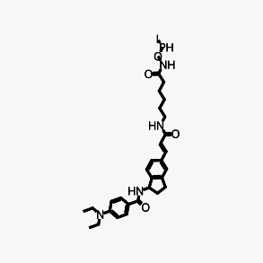 CCN(CC)c1ccc(C(=O)NC2CCc3cc(/C=C/C(=O)NCCCCCC(=O)NOPI)ccc32)cc1